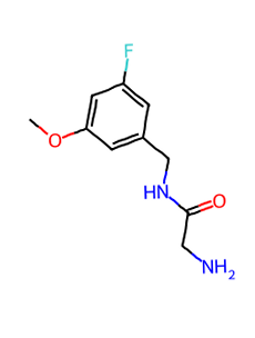 COc1cc(F)cc(CNC(=O)CN)c1